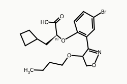 CCCCOC1CON=C1c1cc(Br)ccc1O[C@@H](CC1CCC1)C(=O)O